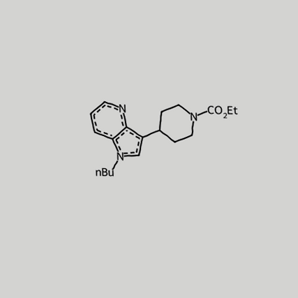 CCCCn1cc(C2CCN(C(=O)OCC)CC2)c2ncccc21